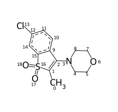 CC1=C(N2CCOCC2)c2ccc(Cl)cc2S1(=O)=O